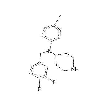 Cc1ccc(N(Cc2ccc(F)c(F)c2)C2CCNCC2)cc1